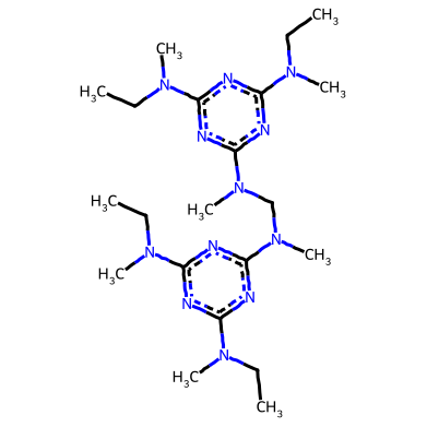 CCN(C)c1nc(N(C)CC)nc(N(C)CN(C)c2nc(N(C)CC)nc(N(C)CC)n2)n1